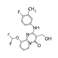 Cc1cc(Nc2nc3c(OC(F)F)cccn3c(=O)c2CO)ccc1F